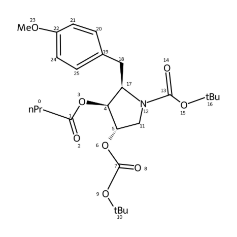 CCCC(=O)O[C@@H]1[C@@H](OC(=O)OC(C)(C)C)CN(C(=O)OC(C)(C)C)[C@@H]1Cc1ccc(OC)cc1